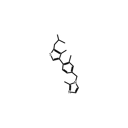 Cc1cc(Cn2ccnc2C)ccc1-c1csc(CC(C)C)c1C